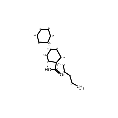 CCCCC[C@]1(C(=O)O)CC[C@H](C2CCCCC2)CC1